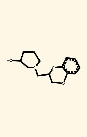 OC1CCCN(CC2COc3ccccc3O2)C1